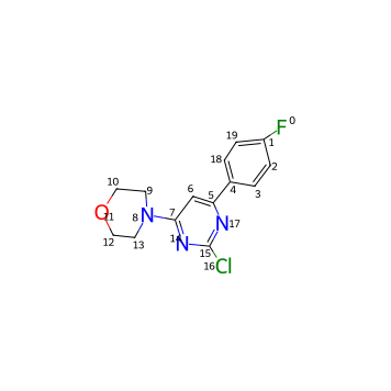 Fc1ccc(-c2cc(N3CCOCC3)nc(Cl)n2)cc1